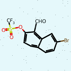 O=Cc1c(OS(=O)(=O)C(F)(F)F)ccc2ccc(Br)cc12